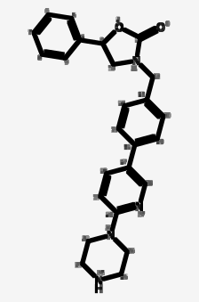 O=C1OC(c2ccccc2)CN1Cc1ccc(-c2ccc(N3CCNCC3)nc2)cc1